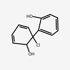 Oc1ccccc1C1(Cl)C=CC=CC1O